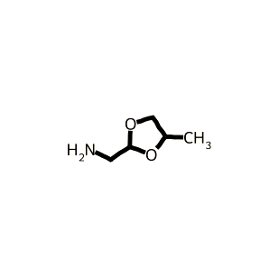 CC1COC(CN)O1